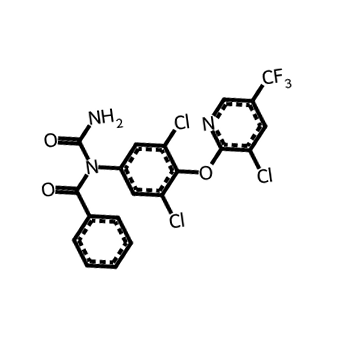 NC(=O)N(C(=O)c1ccccc1)c1cc(Cl)c(Oc2ncc(C(F)(F)F)cc2Cl)c(Cl)c1